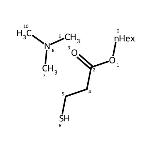 CCCCCCOC(=O)CCS.CN(C)C